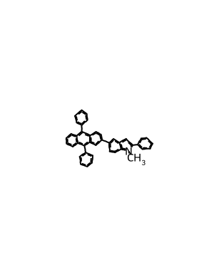 Cn1c(-c2ccccc2)cc2cc(-c3ccc4c(-c5ccccc5)c5ccccc5c(-c5ccccc5)c4c3)ccc21